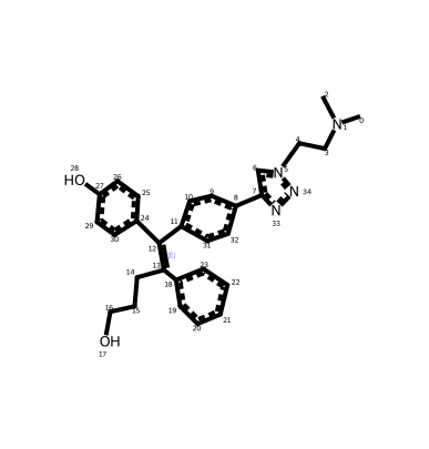 CN(C)CCn1cc(-c2ccc(/C(=C(/CCCO)c3ccccc3)c3ccc(O)cc3)cc2)nn1